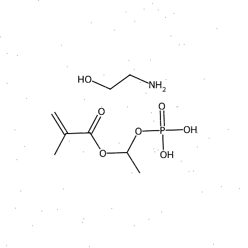 C=C(C)C(=O)OC(C)OP(=O)(O)O.NCCO